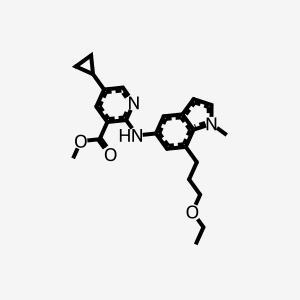 CCOCCCc1cc(Nc2ncc(C3CC3)cc2C(=O)OC)cc2ccn(C)c12